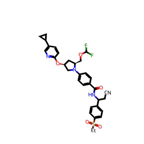 CCS(=O)(=O)c1ccc(C(CC#N)NC(=O)c2ccc(N3C[C@@H](Oc4ccc(C5CC5)cn4)C[C@H]3COC(F)F)cc2)cc1